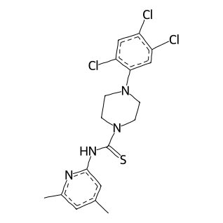 Cc1cc(C)nc(NC(=S)N2CCN(c3cc(Cl)c(Cl)cc3Cl)CC2)c1